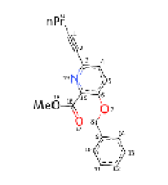 CCCC#Cc1ccc(OCc2ccccc2)c(C(=O)OC)n1